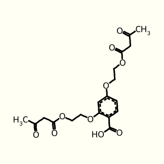 CC(=O)CC(=O)OCCOc1ccc(C(=O)O)c(OCCOC(=O)CC(C)=O)c1